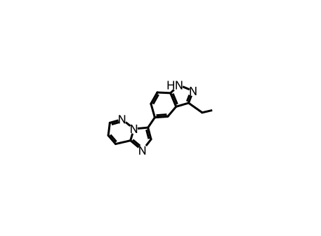 CCc1n[nH]c2ccc(-c3cnc4cccnn34)cc12